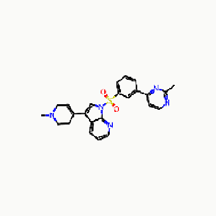 Cc1nccc(-c2cccc(S(=O)(=O)n3cc(C4=CCN(C)CC4)c4cccnc43)c2)n1